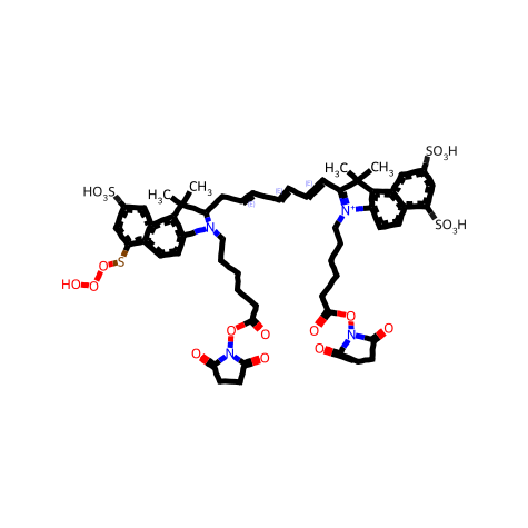 CC1(C)C(/C=C/C=C/C=C/CC2N(CCCCCC(=O)ON3C(=O)CCC3=O)c3ccc4c(SOOO)cc(S(=O)(=O)O)cc4c3C2(C)C)=[N+](CCCCCC(=O)ON2C(=O)CCC2=O)c2ccc3c(S(=O)(=O)O)cc(S(=O)(=O)O)cc3c21